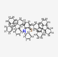 c1ccc(N(c2cccc3c2-c2ccccc2C3(c2ccccc2)c2ccccc2)c2cccc3c2sc2cc(C4(c5ccccc5)c5ccccc5-c5ccccc54)ccc23)cc1